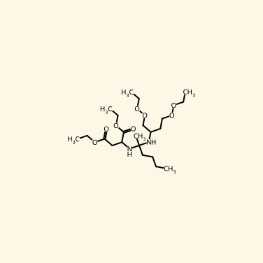 CCCCC(C)(NC(CCOOCC)COOCC)NC(CC(=O)OCC)C(=O)OCC